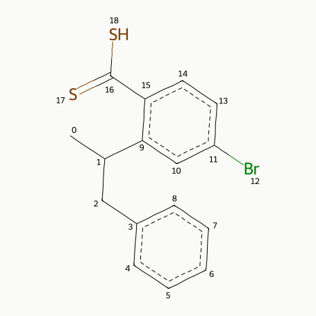 CC(Cc1ccccc1)c1cc(Br)ccc1C(=S)S